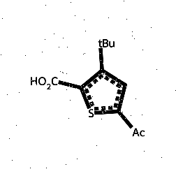 CC(=O)c1cc(C(C)(C)C)c(C(=O)O)s1